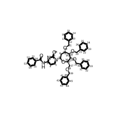 O=C(Nc1ccn([C@@H]2C[C@H](OCc3ccccc3)[C@@H](OCc3ccccc3)[C@H](OCc3ccccc3)[C@@H](COCc3ccccc3)O2)c(=O)n1)c1ccccc1